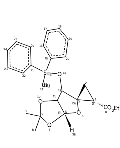 CCOC(=O)[C@H]1C[C@]12O[C@@H]1OC(C)(C)OC1C2O[Si](c1ccccc1)(c1ccccc1)C(C)(C)C